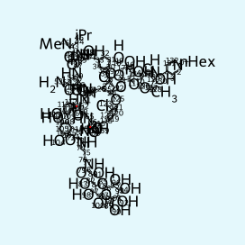 CCCCCC[n+]1ccc(CN[C@]2(C)C[C@H](OC3C(O)[C@@H](O)[C@@H](CO)O[C@@H]3Oc3c4cc5cc3Oc3ccc(cc3Cl)[C@@H](O)[C@@H](NC(=O)[C@@H](CC(C)C)NC)C(=O)N[C@@H](CC(N)=O)C(=O)N[C@H]5C(=O)N[C@H]3C(=O)N[C@H](C(=O)N[C@H](C(=O)NCCCNC(=O)[C@H](O)[C@@H](O)[C@H](OC5OC(CO)C(O)C(O)C5O)[C@H](O)CO)c5cc(O)cc(O)c5-c5cc3ccc5O)[C@H](O)c3ccc(c(Cl)c3)O4)OC(C)[C@@H]2O)cc1